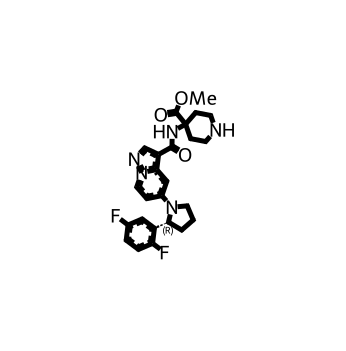 COC(=O)C1(NC(=O)c2cnn3ccc(N4CCC[C@@H]4c4cc(F)ccc4F)cc23)CCNCC1